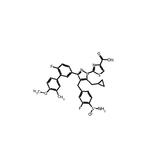 COc1ccc(-c2cc(-c3nn(-c4nc(C(=O)O)cs4)c(CC4CC4)c3Cc3ccc([S+](N)[O-])c(F)c3)ccc2F)cc1C